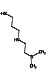 CN(C)CCNCCC[NH]